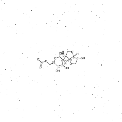 O=[N+]([O-])OC[C@H]1OC(O)[C@](O)([C@@]2(O)CO[C@@H]3[C@H](O)CO[C@@H]32)[C@@H](O)[C@@H]1O